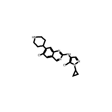 Clc1cc2cnc(Nc3cnn(C4CC4)c3Cl)nc2cc1C1CCNCC1